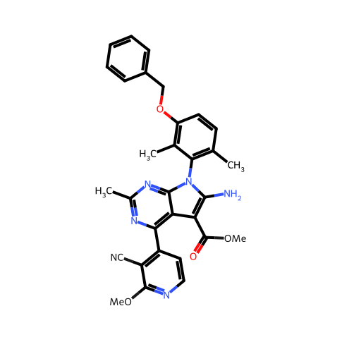 COC(=O)c1c(N)n(-c2c(C)ccc(OCc3ccccc3)c2C)c2nc(C)nc(-c3ccnc(OC)c3C#N)c12